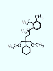 COCC(CC[SiH2]c1cccc(C)c1C)(COC)C1CCCCC1